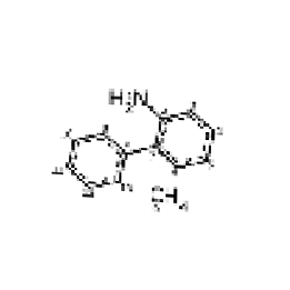 C.Nc1ccccc1-c1ccccc1